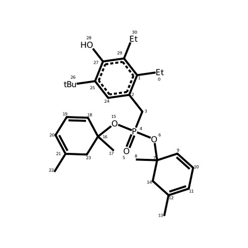 CCc1c(CP(=O)(OC2(C)C=CC=C(C)C2)OC2(C)C=CC=C(C)C2)cc(C(C)(C)C)c(O)c1CC